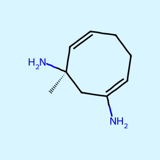 C[C@]1(N)C=CCC/C=C(/N)C1